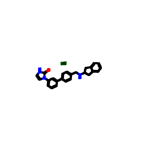 Cl.O=c1[nH]ccn1-c1cccc(-c2ccc(CNC3Cc4ccccc4C3)cc2)c1